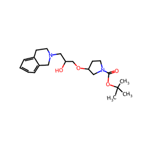 CC(C)(C)OC(=O)N1CCC(OCC(O)CN2CCc3ccccc3C2)C1